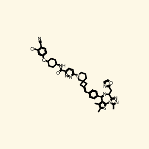 Cc1sc2c(c1C)C(c1ccc(C=C3CC4(CCCN(c5ccc(C(=O)NC6CCC(Oc7ccc(C#N)c(Cl)c7)CC6)nn5)C4)C3)cc1)=NC(Cc1ncco1)c1nnc(C)n1-2